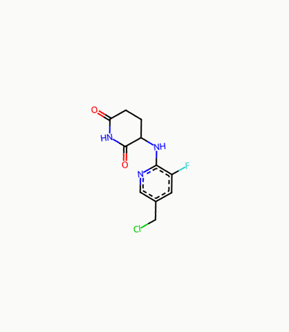 O=C1CCC(Nc2ncc(CCl)cc2F)C(=O)N1